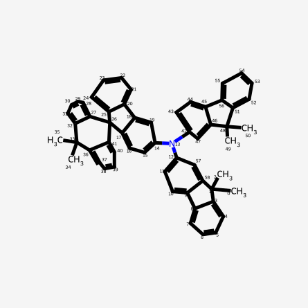 CC1(C)c2ccccc2-c2ccc(N(c3ccc4c(c3)-c3ccccc3C43c4ccccc4C(C)(C)c4ccccc43)c3ccc4c(c3)C(C)(C)c3ccccc3-4)cc21